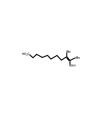 CCCCCCCCC(=C(CCCCCCCC(=O)O)C(C)(C)C)C(C)(C)C